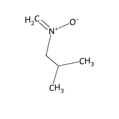 C=[N+]([O-])CC(C)C